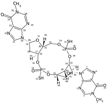 Cn1cnc2c(ncn2[C@@H]2C[C@@H]3OP(=O)(S)O[C@H]4C[C@H](n5cnc6c(=O)n(C)cnc65)O[C@@H]4COP(=O)(S)O[C@@H]2[C@@H]3O)c1=O